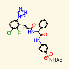 CC(=O)NS(=O)(=O)c1ccc(NC(=O)C(NC(=O)/C=C/c2c(-n3cnnn3)ccc(Cl)c2F)c2ccccc2)cc1